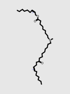 CCCCCC/C=C\CCC(=O)CCCCCCCCN(C)CCCCCCCCC(=O)OC/C=C\CCCCCC